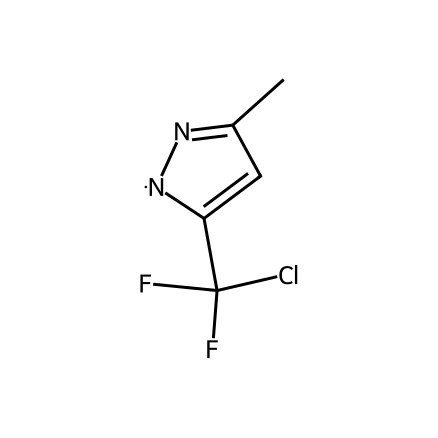 CC1=N[N]C(C(F)(F)Cl)=C1